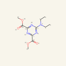 CCN(CC)c1nc(C(=O)OC)nc(C(=O)OC)n1